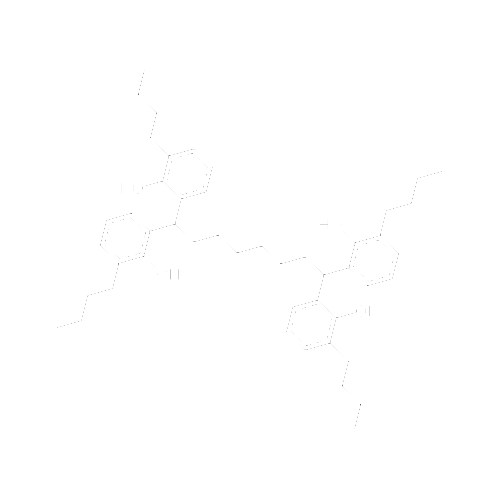 CCCCc1cccc(C(CCCCCCC(c2cccc(CCCC)c2O)c2cccc(CCCC)c2O)c2cccc(CCCC)c2O)c1O